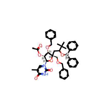 CC(=O)O[C@H]1[C@H](n2cc(C)c(=O)[nH]c2=O)O[C@@](COCc2ccccc2)(CC(O[SiH](c2ccccc2)c2ccccc2)C(C)(C)C)[C@H]1OCc1ccccc1